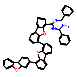 NC(NC(NCc1ccccc1)c1cccc2c1oc1c(-c3cccc4c3sc3c(C5=CC6Oc7ccccc7C6C=C5)cccc34)cccc12)c1ccccc1